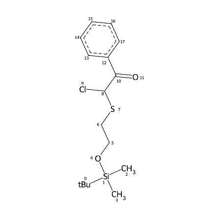 CC(C)(C)[Si](C)(C)OCCSC(Cl)C(=O)c1ccccc1